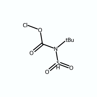 CC(C)(C)N(C(=O)OCl)[SH](=O)=O